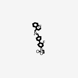 CN(Cc1ccc(-c2ccc(N3CCOC3=O)cc2F)cc1)Cc1ccnc2ccccc12